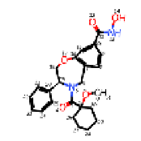 COC1(C(=O)N2Cc3ccc(C(=O)NO)cc3OC[C@@H]2c2ccccc2)CCCCC1